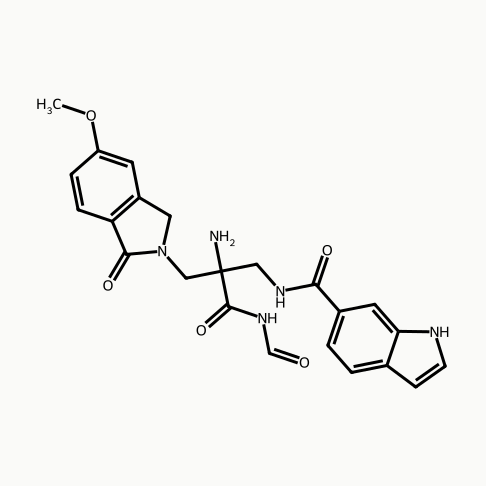 COc1ccc2c(c1)CN(CC(N)(CNC(=O)c1ccc3cc[nH]c3c1)C(=O)NC=O)C2=O